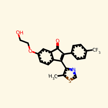 Cc1scnc1C1=C(c2ccc(C(F)(F)F)cc2)C(=O)c2cc(OCCO)ccc21